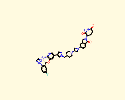 C[C@H](Oc1cc(-c2cnn(CC3CCN(C4CN(c5ccc6c(c5)CN(C5CCC(=O)NC5=O)C6=O)C4)CC3)c2)cnc1N)c1cc(F)ccc1-n1nccn1